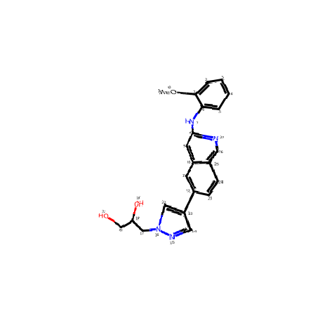 COc1c[c]ccc1Nc1cc2cc(-c3cnn(CC(O)CO)c3)ccc2cn1